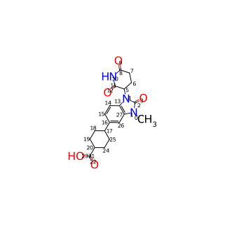 Cn1c(=O)n(C2CCC(=O)NC2=O)c2ccc(C3CCC(C(=O)O)CC3)cc21